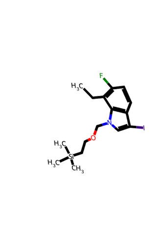 CCc1c(F)ccc2c(I)cn(COCC[Si](C)(C)C)c12